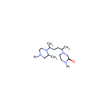 CC(C)N1CCN(C(C)CCC(C)N2CCN(C(C)C)C(=O)C2)C(C)C1